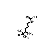 CC(C)(O)C(N)CCCNC(=N)N